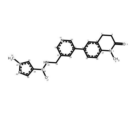 CN1C(=O)CCc2cc(-c3cncc(CN[S+]([O-])c4cnn(C)c4)c3)ccc21